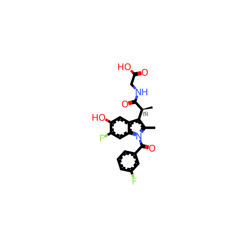 Cc1c([C@H](C)C(=O)NCC(=O)O)c2cc(O)c(F)cc2n1C(=O)c1cccc(F)c1